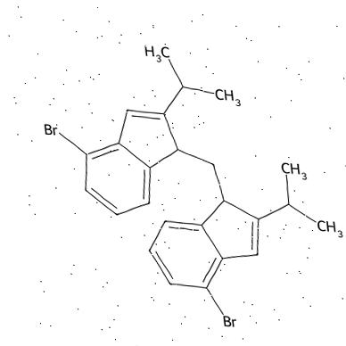 CC(C)C1=Cc2c(Br)cccc2C1CC1C(C(C)C)=Cc2c(Br)cccc21